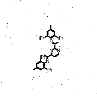 CC(=Nc1c(C(C)C)cc(C)cc1C(C)C)c1ccnc(C(C)=Nc2c(C(C)C)cc(C)cc2C(C)C)n1